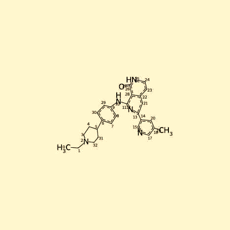 CCN1CCC(c2ccc(Nc3nc(-c4cncc(C)c4)cc4cc[nH]c(=O)c34)cc2)CC1